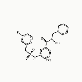 Cl.O=C(c1cc(NS(=O)(=O)Cc2cccc(F)c2)ccn1)N(O)Cc1ccccc1